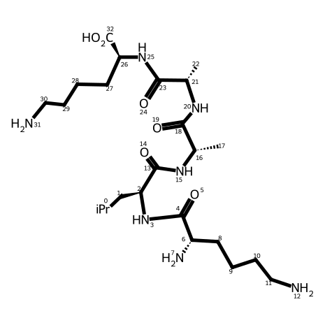 CC(C)C[C@H](NC(=O)[C@@H](N)CCCCN)C(=O)N[C@@H](C)C(=O)N[C@@H](C)C(=O)N[C@@H](CCCCN)C(=O)O